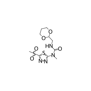 CN(C(=O)NCC1OCCCO1)c1nnc(S(C)(=O)=O)s1